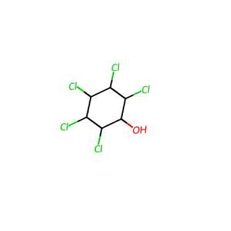 OC1C(Cl)C(Cl)C(Cl)C(Cl)C1Cl